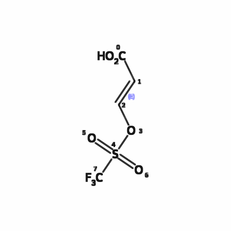 O=C(O)/C=C/OS(=O)(=O)C(F)(F)F